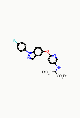 CCOC(=O)C(Nc1ccc(Oc2ccc3c(cnn3-c3ccc(F)cc3)c2)nc1)C(=O)OCC